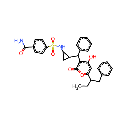 CCC(Cc1ccccc1)c1cc(O)c(C(c2ccccc2)C2CC2NS(=O)(=O)c2ccc(C(N)=O)cc2)c(=O)o1